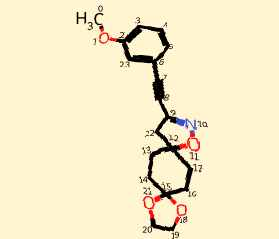 COc1cccc(C#CC2=NOC3(CCC4(CC3)OCCO4)C2)c1